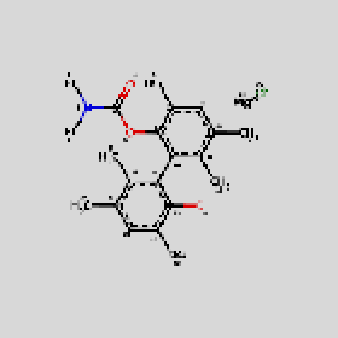 CCN(CC)C(=O)Oc1c(C(C)(C)C)cc(C)c(C)c1-c1c(C)c(C)cc(C(C)(C)C)c1[O-].[Cl-].[Mg+2]